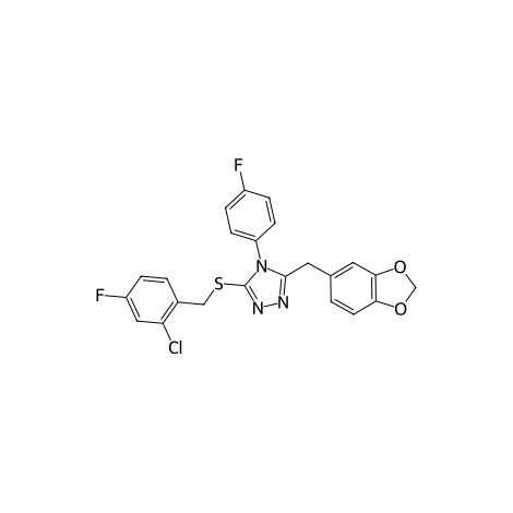 Fc1ccc(-n2c(Cc3ccc4c(c3)OCO4)nnc2SCc2ccc(F)cc2Cl)cc1